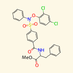 COC(=O)C(Cc1ccccc1)NC(=O)c1ccc(S(=O)(=O)N(Oc2ccc(Cl)cc2Cl)c2ccccc2)cc1